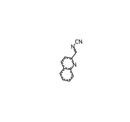 N#C/N=C/c1ccc2ccccc2n1